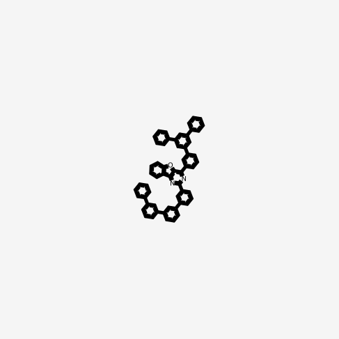 c1ccc(-c2cccc(-c3cccc(-c4cccc(-c5nc(-c6cccc(-c7cc(-c8ccccc8)cc(-c8ccccc8)c7)c6)c6oc7ccccc7c6n5)c4)c3)c2)cc1